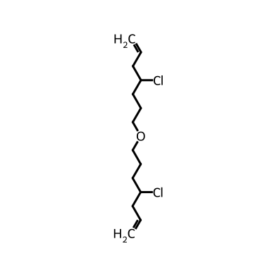 C=CCC(Cl)CCCOCCCC(Cl)CC=C